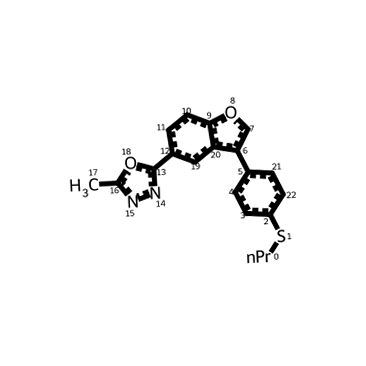 CCCSc1ccc(-c2coc3ccc(-c4nnc(C)o4)cc23)cc1